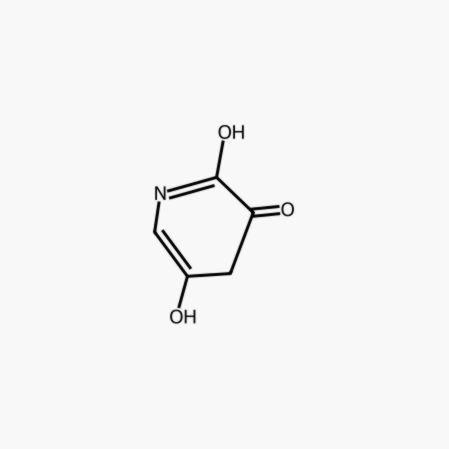 O=C1CC(O)=CN=C1O